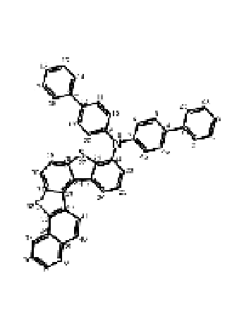 c1ccc(-c2ccc(N(c3ccc(-c4ccccc4)cc3)c3cccc4c3sc3ccc5sc6c7ccccc7ccc6c5c34)cc2)cc1